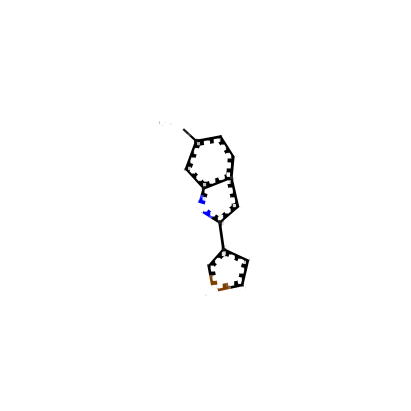 COc1ccc2cc(-c3ccsc3)[nH]c2c1